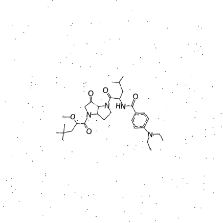 CCN(CC)c1ccc(C(=O)NC(CC(C)C)C(=O)N2CCC3C2C(=O)CN3C(=O)C(CC(C)(C)C)OC)cc1